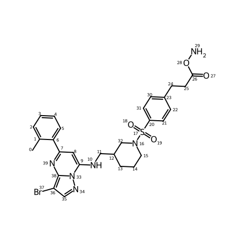 Cc1ccccc1-c1cc(NCC2CCCN(S(=O)(=O)c3ccc(CCC(=O)ON)cc3)C2)n2ncc(Br)c2n1